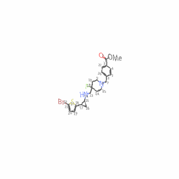 COC(=O)c1ccc(CN2CCC(F)(CNC3CC3c3ccc(Br)s3)CC2)cc1